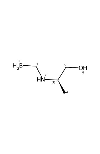 BCN[C@H](C)CO